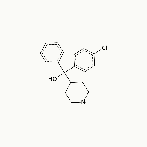 OC(c1ccccc1)(c1ccc(Cl)cc1)C1CC[N]CC1